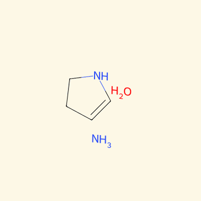 C1=CNCC1.N.O